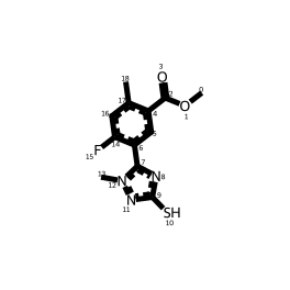 COC(=O)c1cc(-c2nc(S)nn2C)c(F)cc1C